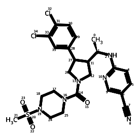 C[C@@H](Nc1ccc(C#N)cn1)C1CN(C(=O)N2CCN(S(C)(=O)=O)CC2)CC1c1ccc(Cl)c(Cl)c1